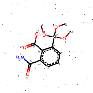 CO[Si](OC)(OC)c1cccc(C(N)=O)c1C(=O)O